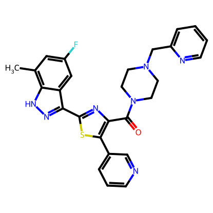 Cc1cc(F)cc2c(-c3nc(C(=O)N4CCN(Cc5ccccn5)CC4)c(-c4cccnc4)s3)n[nH]c12